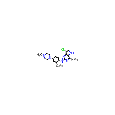 CNc1nc(Nc2ccc(N3CCN(C)CC3)cc2OC)nc2c(Cl)c[nH]c12